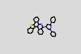 c1ccc(-c2cc(-c3nc4c5ccccc5c5sc6ccccc6c5c4c4ccccc34)cc(-c3ccccc3)n2)cc1